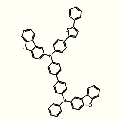 c1ccc(-c2ccc(-c3ccc(N(c4ccc(-c5ccc(N(c6ccccc6)c6ccc7oc8ccccc8c7c6)cc5)cc4)c4ccc5oc6ccccc6c5c4)cc3)s2)cc1